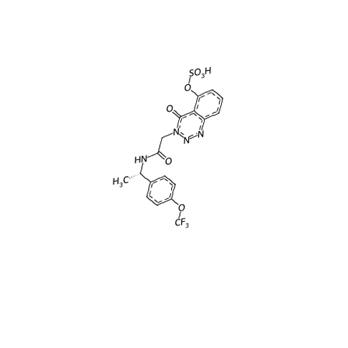 C[C@H](NC(=O)Cn1nnc2cccc(OS(=O)(=O)O)c2c1=O)c1ccc(OC(F)(F)F)cc1